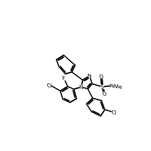 CNS(=O)(=O)c1nc(-c2ccccc2)n(-c2cccc(Cl)c2F)c1-c1cccc(Cl)c1